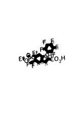 CCOP(=O)(OCC)C(F)(F)c1ccc2c(c1)C=C(C(=O)O)[SH]2c1c(F)c(F)c(F)c(F)c1F